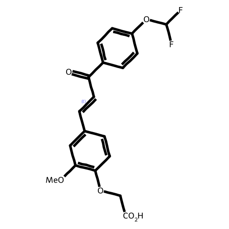 COc1cc(/C=C/C(=O)c2ccc(OC(F)F)cc2)ccc1OCC(=O)O